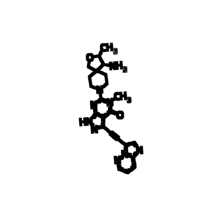 C[C@@H]1OCC2(CCN(c3nc4[nH]nc(C#Cc5cnc6cccnn56)c4c(=O)n3C)CC2)[C@@H]1N